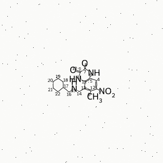 Cc1c([N+](=O)[O-])cc2[nH]c(=O)c(=O)[nH]c2c1CNCC1CCCCC1